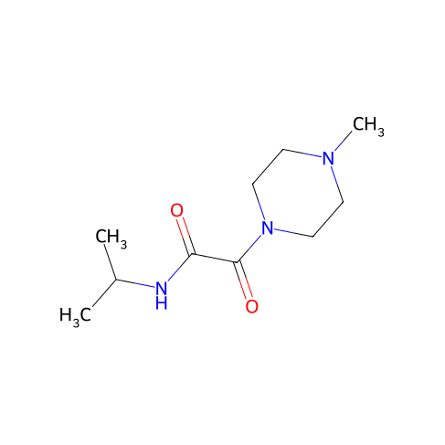 CC(C)NC(=O)C(=O)N1CCN(C)CC1